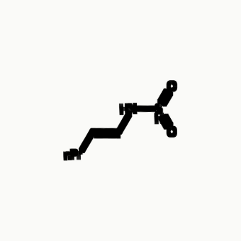 CCCC=CN[SH](=O)=O